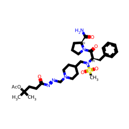 CC(=O)OC(C)(C)CCC(=O)N=NCN1CCC(CN([C@H](Cc2ccccc2)C(=O)N2CCC[C@H]2C(N)=O)S(C)(=O)=O)CC1